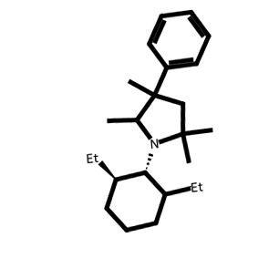 CCC1CCC[C@@H](CC)[C@@H]1N1C(C)C(C)(c2ccccc2)CC1(C)C